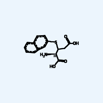 N[C@H](C(=O)O)C(CC(=O)O)Sc1ccc2ccccc2c1